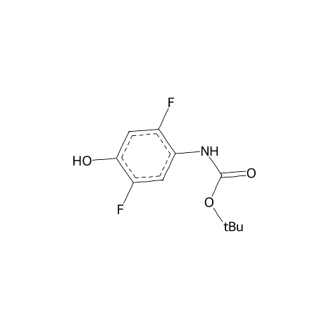 CC(C)(C)OC(=O)Nc1cc(F)c(O)cc1F